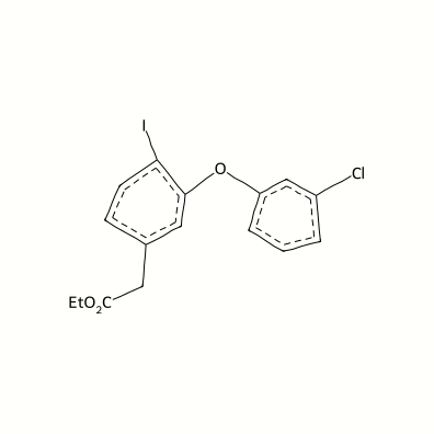 CCOC(=O)Cc1ccc(I)c(Oc2cccc(Cl)c2)c1